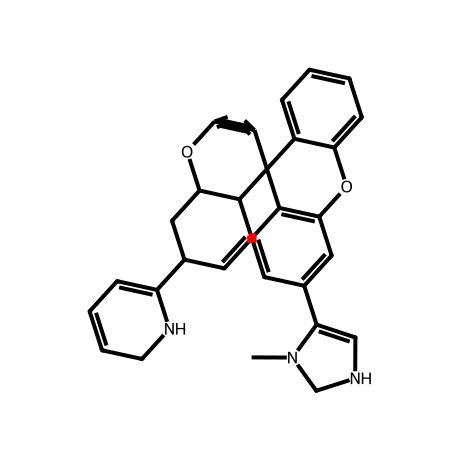 CN1CNC=C1c1ccc2c(c1)Oc1ccccc1C21c2ccccc2OC2CC(C3=CC=CCN3)C=CC21